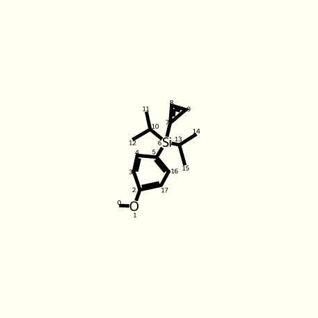 COc1ccc([Si](C2=C=C2)(C(C)C)C(C)C)cc1